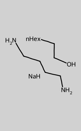 CCCCCCCCO.NCCCCN.[NaH]